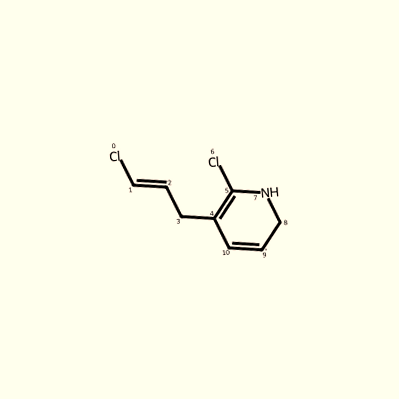 Cl/C=C/CC1=C(Cl)NC[C]=C1